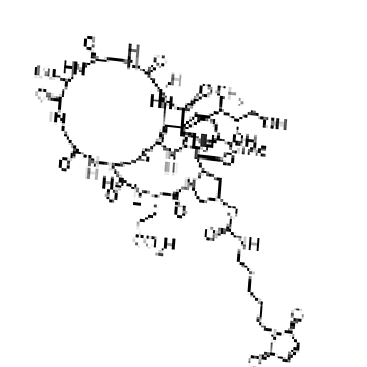 CC[C@H](C)C1NC(=O)CNC(=O)[C@@H]2Cc3c([nH]c4cc(OC)ccc34)SC[C@H](NC(=O)CNC1=O)C(=O)N[C@@H](CCC(=O)O)C(=O)N1C[C@H](OC(=O)NCCCCCN3C(=O)C=CC3=O)CC1C(=O)N[C@H]([C@@H](C)[C@@H](O)CO)C(=O)N2